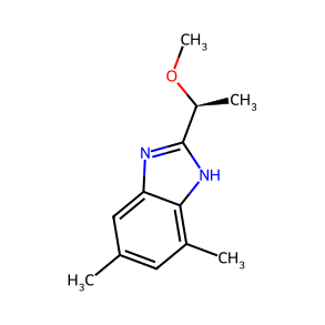 CO[C@@H](C)c1nc2cc(C)cc(C)c2[nH]1